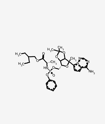 CCC(CC)COC(=O)[C@H](C)N[P@](=O)(OC[C@H]1O[C@@](C)(c2ccc3c(N)ncnn23)C2OC(C)(C)OC21)Oc1ccccc1